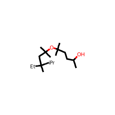 CCC(C)(CC(C)(C)OC(C)(C)CCC(C)O)C(C)C